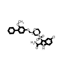 COc1cc(OC[C@@H]2CN(S(=O)(=O)c3c(C(N)=O)[nH]c4ccc(Cl)cc34)CCO2)ccc1-c1ccccc1